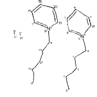 CCCCC[n+]1ccccc1.CCCCC[n+]1ccccc1.[I-].[I-]